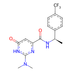 C[C@@H](NC(=O)c1cc(=O)[nH]c(N(C)C)n1)c1ccc(C(F)(F)F)cc1